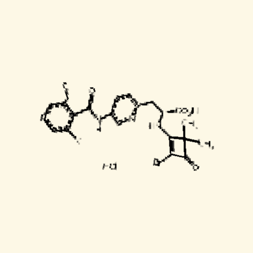 CC1(C)C(=O)C(Br)=C1N[C@@H](Cc1ccc(NC(=O)c2c(Cl)cncc2Cl)cn1)C(=O)O.Cl